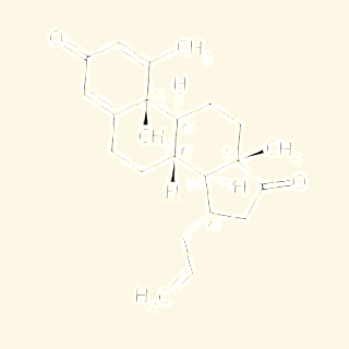 C=CC[C@H]1CC(=O)[C@@]2(C)CC[C@H]3[C@@H](CCC4=CC(=O)C=C(C)[C@@]43C)[C@H]12